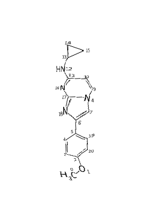 COc1ccc(-c2cn3ccc(NC4CC4)nc3n2)cc1